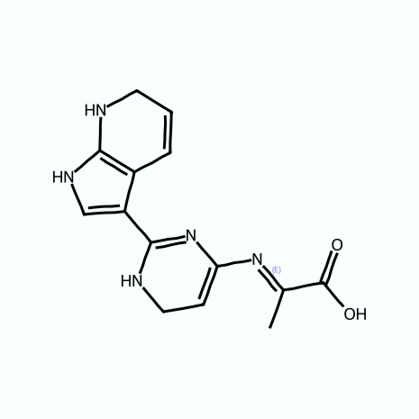 C/C(=N\C1=CCNC(c2c[nH]c3c2C=CCN3)=N1)C(=O)O